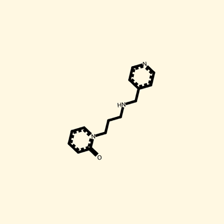 O=c1ccccn1CCCNCc1ccncc1